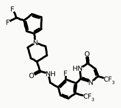 O=C(NCc1ccc(C(F)(F)F)c(-c2nc(C(F)(F)F)cc(=O)[nH]2)c1F)C1CCN(c2cccc(C(F)F)c2)CC1